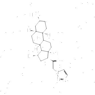 CC[C@@H]1C[C@H](C(=O)Cn2ccnn2)[C@@]2(C)CC[C@@H]3[C@H]4CC[C@H](C)C[C@H]4CC[C@H]3C12